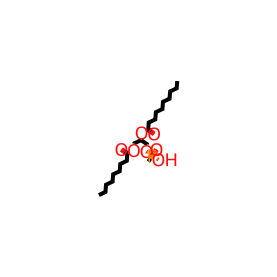 CCCCCCCCCC(=O)OC(COC(=O)CCCCCCCC)COP(C)(=O)O